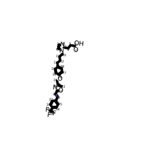 O=C(O)CCc1nccn1CCCCc1ccc(OCc2coc(/C=C/c3ccc(C(F)(F)F)cc3)n2)cc1